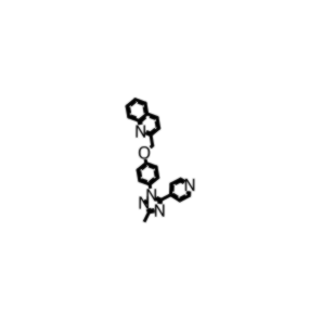 Cc1nc(-c2ccncc2)n(-c2ccc(OCc3ccc4ccccc4n3)cc2)n1